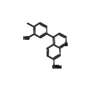 COc1ccc2c(-c3ccc(C)c(O)c3)ccnc2c1